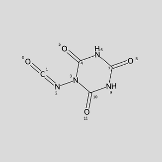 O=C=Nn1c(=O)[nH]c(=O)[nH]c1=O